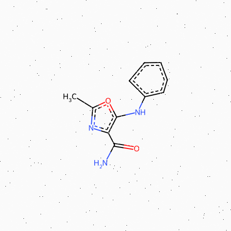 Cc1nc(C(N)=O)c(Nc2ccccc2)o1